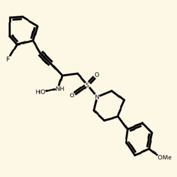 COc1ccc(C2CCN(S(=O)(=O)CC(C#Cc3ccccc3F)NO)CC2)cc1